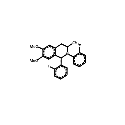 COc1cc2c(cc1OC)C(c1ccccc1F)N(c1ccccc1F)C(C)C2